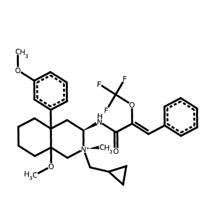 COc1cccc(C23CCCCC2(OC)C[N@@+](C)(CC2CC2)[C@H](NC(=O)C(=Cc2ccccc2)OC(F)(F)F)C3)c1